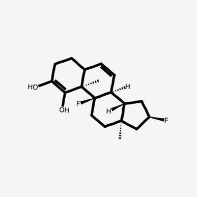 C[C@]12CC[C@@]3(F)[C@@H](C=CC4CCC(O)=C(O)[C@@]43C)[C@@H]1C[C@@H](F)C2